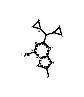 Cc1cc2nc(C(C3CC3)C3CC3)cc(N)n2n1